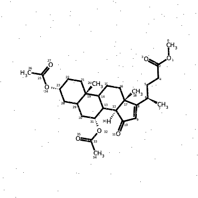 COC(=O)CC[C@@H](C)C1=CC(=O)[C@H]2C3C(CC[C@]12C)[C@@]1(C)CC[C@@H](OC(C)=O)CC1C[C@H]3OC(C)=O